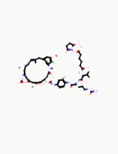 COc1cc2cc(c1Cl)N(C)C(=O)C[C@H](OC(=O)Nc1ccc(NC(=O)[C@H](CCCNC(N)=O)NC(=O)[C@@H](NC(=O)CCCCC(=O)ON3C(=O)CCC3=O)C(C)C)c(Br)c1)[C@]1(C)O[C@H]1[C@H](C)[C@@H]1C[C@@](O)(NC(=O)O1)[C@H](OC)/C=C/C=C(\C)C2